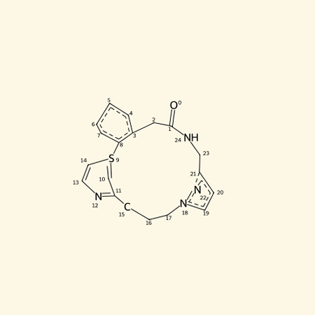 O=C1Cc2ccccc2S2=CC(=NC=C2)CCCn2ccc(n2)CN1